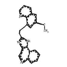 COc1cc(Cc2nc3cnc4ccccc4c3[nH]2)c2ncccc2c1